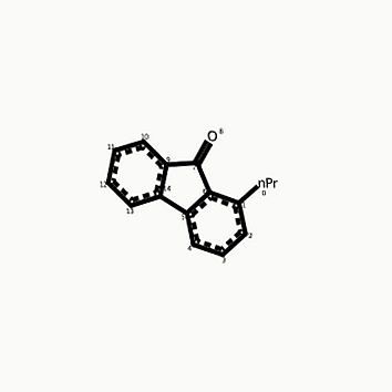 CCCc1cccc2c1C(=O)c1ccccc1-2